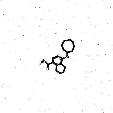 O=NC(=O)c1cnc(NC2CCCCCCC2)c2c1CCCC2